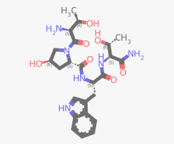 C[C@@H](O)[C@H](N)C(=O)N1C[C@H](O)C[C@H]1C(=O)N[C@@H](Cc1c[nH]c2ccccc12)C(=O)N[C@H](C(N)=O)[C@@H](C)O